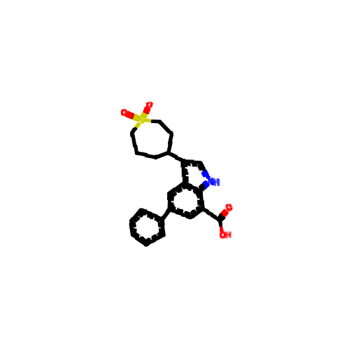 O=C(O)c1cc(-c2ccccc2)cc2c(C3CCCS(=O)(=O)CC3)c[nH]c12